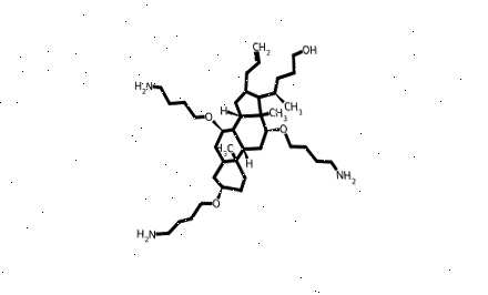 C=CCC1C[C@H]2C3[C@H](OCCCCN)CC4C[C@H](OCCCCN)CCC4(C)[C@H]3C[C@H](OCCCCN)C2(C)C1[C@H](C)CCCO